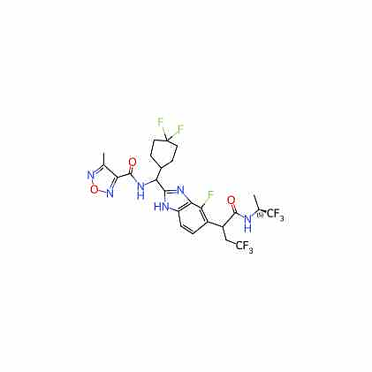 Cc1nonc1C(=O)NC(c1nc2c(F)c(C(CC(F)(F)F)C(=O)N[C@@H](C)C(F)(F)F)ccc2[nH]1)C1CCC(F)(F)CC1